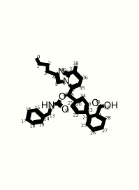 CCCCc1cn2c([C@H](OC(=O)NCc3ccccc3)c3ccc(-c4ccccc4C(=O)O)cc3)ccc(C)c2n1